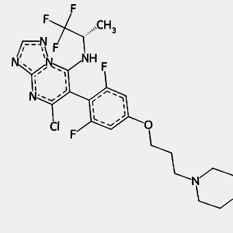 C[C@H](Nc1c(-c2c(F)cc(OCCCN3CCOCC3)cc2F)c(Cl)nc2ncnn12)C(F)(F)F